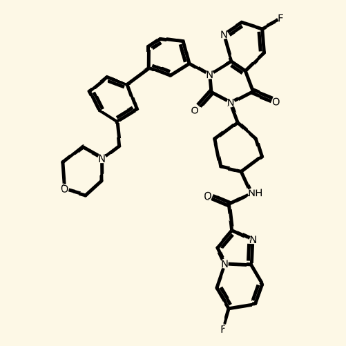 O=C(NC1CCC(n2c(=O)c3cc(F)cnc3n(-c3cccc(-c4cccc(CN5CCOCC5)c4)c3)c2=O)CC1)c1cn2cc(F)ccc2n1